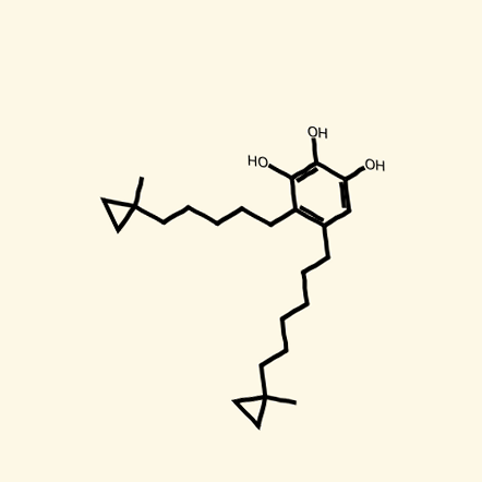 CC1(CCCCCCc2cc(O)c(O)c(O)c2CCCCCC2(C)CC2)CC1